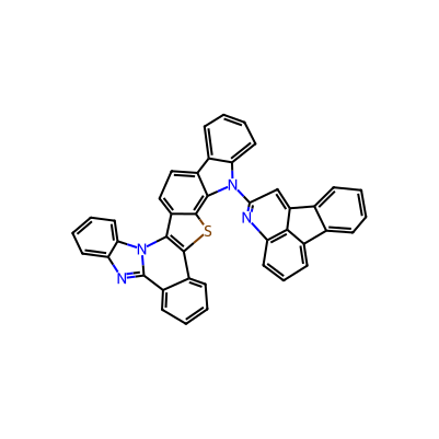 c1ccc2c(c1)-c1cccc3nc(-n4c5ccccc5c5ccc6c(sc7c8ccccc8c8nc9ccccc9n8c67)c54)cc-2c13